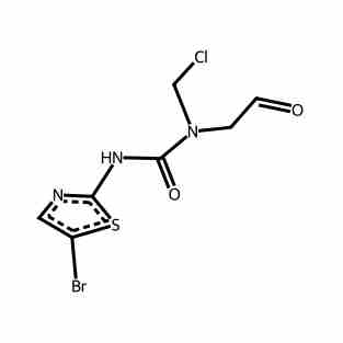 O=CCN(CCl)C(=O)Nc1ncc(Br)s1